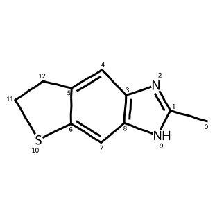 Cc1nc2cc3c(cc2[nH]1)SCC3